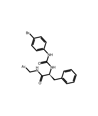 CC(=O)CNC(=O)[C@H](Cc1ccccc1)NC(=O)Nc1ccc(Br)cc1